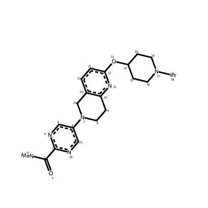 CNC(=O)c1ncc(N2CCc3nc(OC4CCN(C(C)C)CC4)ccc3C2)cn1